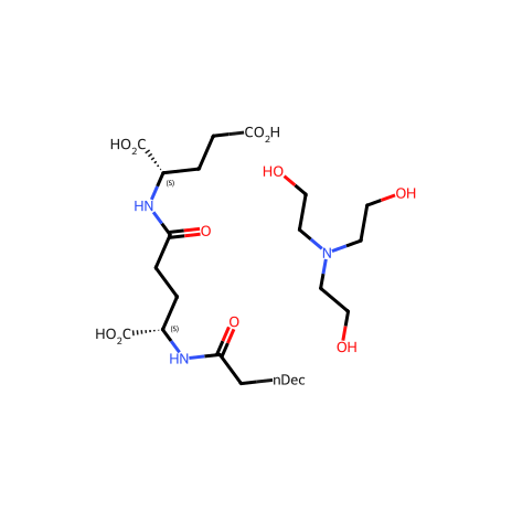 CCCCCCCCCCCC(=O)N[C@@H](CCC(=O)N[C@@H](CCC(=O)O)C(=O)O)C(=O)O.OCCN(CCO)CCO